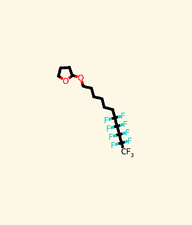 FC(F)(F)C(F)(F)C(F)(F)C(F)(F)C(F)(F)CCCCCCOC1CCCO1